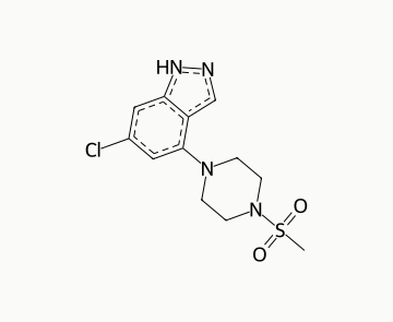 CS(=O)(=O)N1CCN(c2cc(Cl)cc3[nH]ncc23)CC1